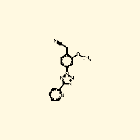 COc1cc(-n2nnc(-c3ccccn3)n2)ccc1CC#N